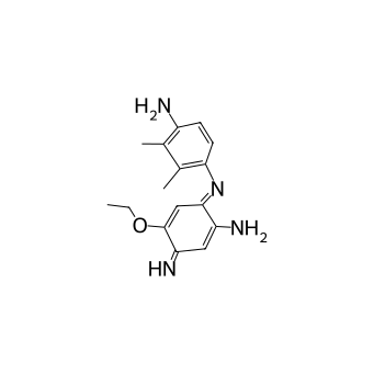 CCOC1=CC(=Nc2ccc(N)c(C)c2C)C(N)=CC1=N